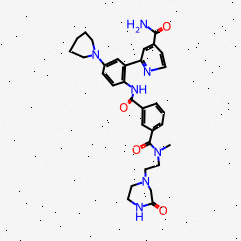 CN(CCN1CCNC(=O)C1)C(=O)c1cccc(C(=O)Nc2ccc(N3CCCCC3)cc2-c2cc(C(N)=O)ccn2)c1